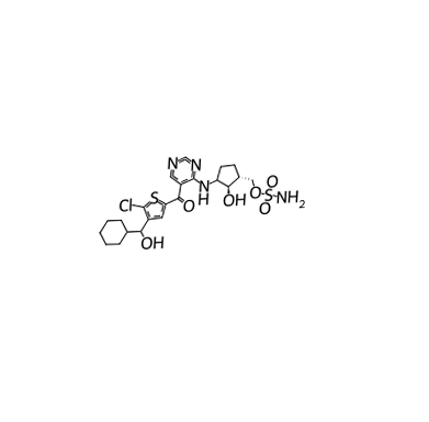 NS(=O)(=O)OC[C@H]1CCC(Nc2ncncc2C(=O)c2cc(C(O)C3CCCCC3)c(Cl)s2)[C@@H]1O